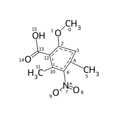 COc1cc(C)c([N+](=O)[O-])c(C)c1C(=O)O